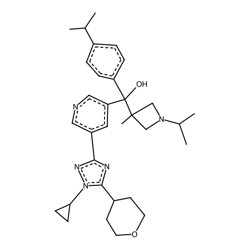 CC(C)c1ccc(C(O)(c2cncc(-c3nc(C4CCOCC4)n(C4CC4)n3)c2)C2(C)CN(C(C)C)C2)cc1